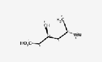 CCCC[C@@H](C)C[C@H](O)CC(=O)O